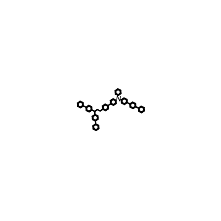 c1ccc(-c2ccc(-c3ccc(N(c4ccccc4)c4ccc(-c5ccc(CCC(c6ccc(-c7ccccc7)cc6)c6ccc(-c7ccccc7)cc6)cc5)cc4)cc3)cc2)cc1